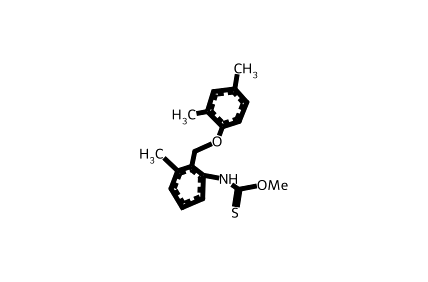 COC(=S)Nc1cccc(C)c1COc1ccc(C)cc1C